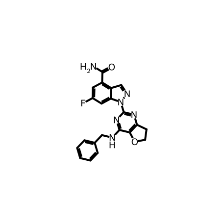 NC(=O)c1cc(F)cc2c1cnn2-c1nc2c(c(NCc3ccccc3)n1)OCC2